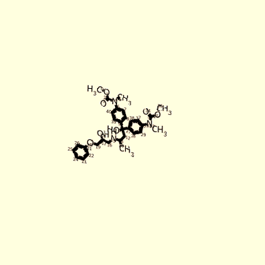 COC(=O)N(C)c1ccc(C(O)(CC(C)NC[C@H](O)COc2ccccc2)c2ccc(N(C)C(=O)OC)cc2)cc1